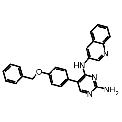 Nc1ncc(-c2ccc(OCc3ccccc3)cc2)c(Nc2cnc3ccccc3c2)n1